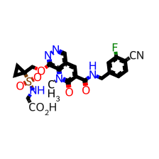 Cn1c(=O)c(C(=O)NCc2ccc(C#N)c(F)c2)cc2cnnc(OCC3(S(=O)(=O)NCC(=O)O)CC3)c21